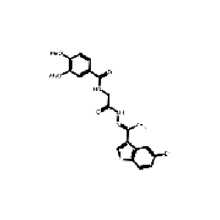 COc1ccc(C(=O)NCC(=O)N/N=C(\C)c2csc3ccc(Br)cc23)cc1OC